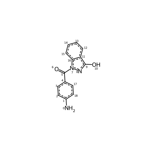 Nc1ccc(C(=O)n2nc(O)c3ccccc32)cc1